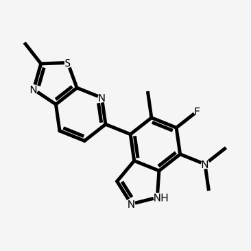 Cc1nc2ccc(-c3c(C)c(F)c(N(C)C)c4[nH]ncc34)nc2s1